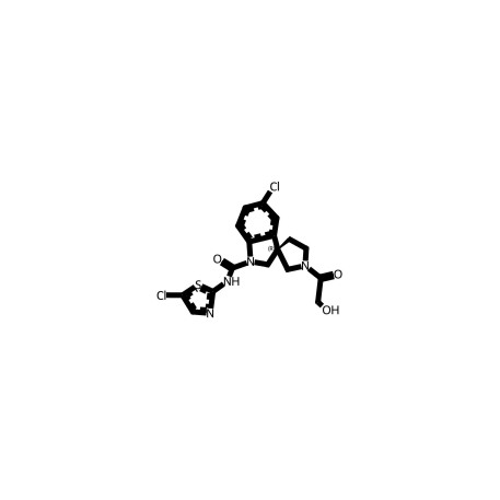 O=C(CO)N1CC[C@@]2(C1)CN(C(=O)Nc1ncc(Cl)s1)c1ccc(Cl)cc12